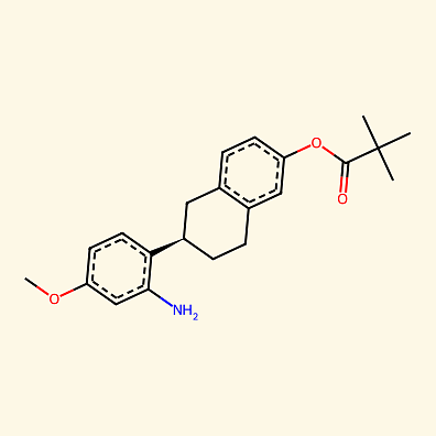 COc1ccc([C@@H]2CCc3cc(OC(=O)C(C)(C)C)ccc3C2)c(N)c1